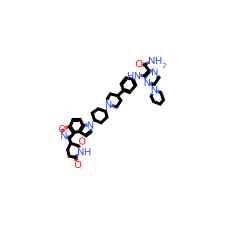 NC(=O)c1ncc(N2CCCCC2)nc1Nc1ccc(C2CCN([C@H]3CC[C@H](n4ccc5c6c(C7CCC(=O)NC7=O)noc6ccc54)CC3)CC2)cc1